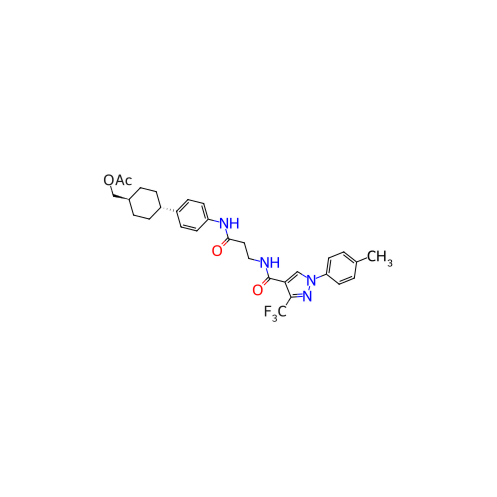 CC(=O)OC[C@H]1CC[C@H](c2ccc(NC(=O)CCNC(=O)c3cn(-c4ccc(C)cc4)nc3C(F)(F)F)cc2)CC1